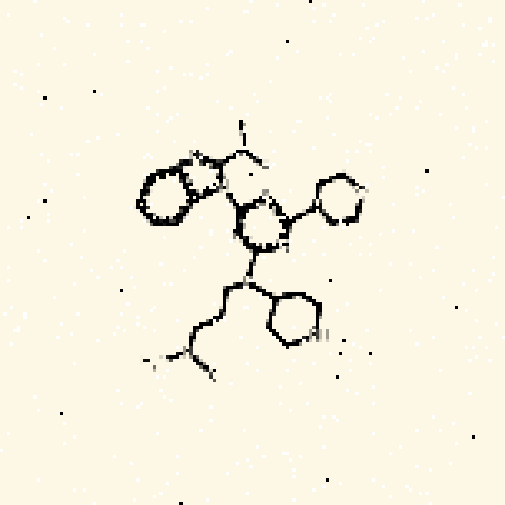 CN(C)CCCN(c1nc(N2CCOCC2)nc(-n2c(C(F)F)nc3ccccc32)n1)C1CCNCC1